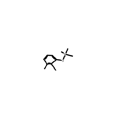 Cc1cccc(O[Si](C)(C)C)c1C